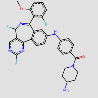 COc1cccc(F)c1C1=NC(F)c2cnc(F)nc2-c2ccc(Nc3ccc(C(=O)N4CCC(N)CC4)cc3)cc21